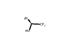 CC(C)[C@H](C(C)(C)C)C(F)(F)F